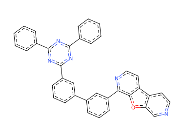 c1ccc(-c2nc(-c3ccccc3)nc(-c3cccc(-c4cccc(-c5nccc6c5oc5cnccc56)c4)c3)n2)cc1